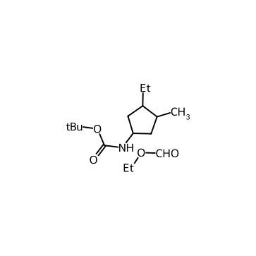 CCC1CC(NC(=O)OC(C)(C)C)CC1C.CCOC=O